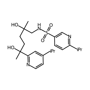 CC(C)c1ccnc(C(C)(O)CCC(C)(O)CNS(=O)(=O)c2ccc(C(C)C)nc2)c1